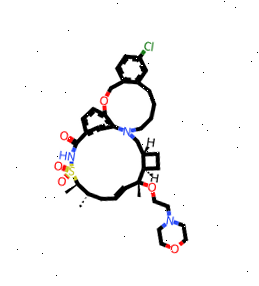 C[C@@H]1[C@@H](C)C/C=C/[C@@](C)(OCCN2CCOCC2)[C@@H]2CC[C@H]2CN2CCCCc3cc(Cl)ccc3COc3ccc(cc32)C(=O)NS1(=O)=O